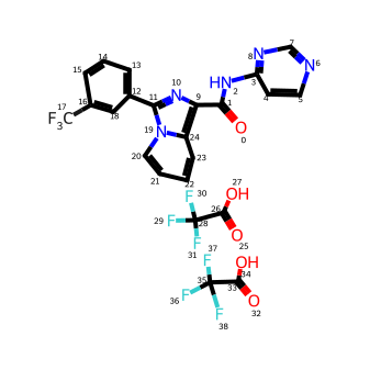 O=C(Nc1ccncn1)c1nc(-c2cccc(C(F)(F)F)c2)n2ccccc12.O=C(O)C(F)(F)F.O=C(O)C(F)(F)F